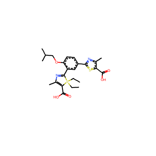 CCS1(CC)C(c2cc(-c3nc(C)c(C(=O)O)s3)ccc2OCC(C)C)=NC(C)=C1C(=O)O